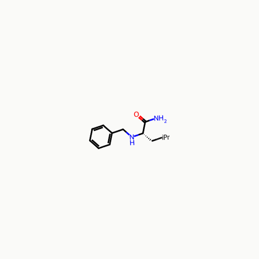 CC(C)C[C@H](NCc1ccccc1)C(N)=O